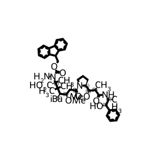 CC[C@H](C)C([C@@H](CC(=O)N1CCC[C@H]1[C@H](OC)[C@@H](C)C(=O)N[C@H](C)[C@@H](O)c1ccccc1)OC)C(C)(C)[C@@](C)(C(=O)O)N(N)C(=O)OCC1c2ccccc2-c2ccccc21